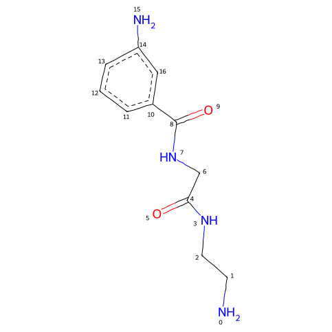 NCCNC(=O)CNC(=O)c1cccc(N)c1